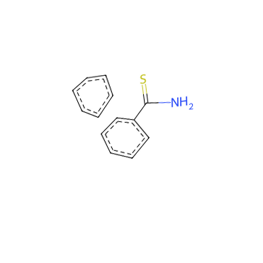 NC(=S)c1ccccc1.c1ccccc1